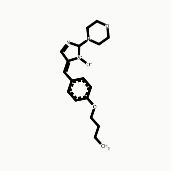 CCCCOc1ccc(C=C2C=NC(N3CCOCC3)[S+]2[O-])cc1